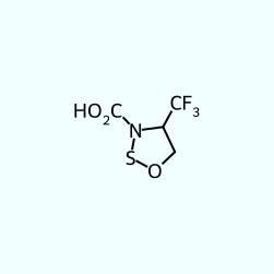 O=C(O)N1SOCC1C(F)(F)F